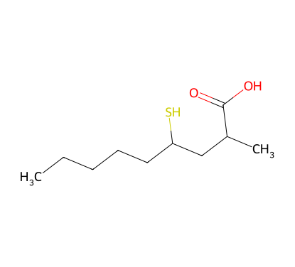 CCCCCC(S)CC(C)C(=O)O